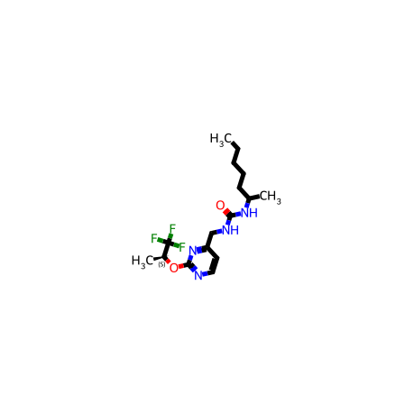 CCCCCC(C)NC(=O)NCc1ccnc(O[C@@H](C)C(F)(F)F)n1